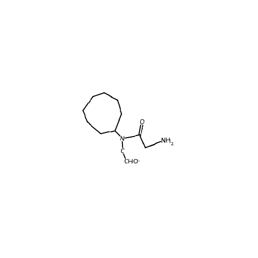 NCC(=O)N(C[C]=O)C1CCCCCCC1